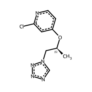 C[C@@H](Cn1cnnn1)Oc1ccnc(Cl)c1